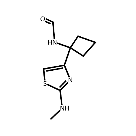 CNc1nc(C2(NC=O)CCC2)cs1